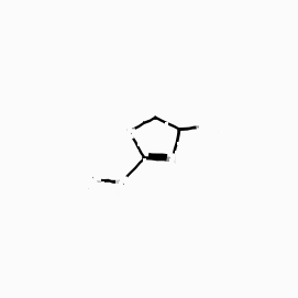 CC1CNC(NN)=N1.Cl.Cl